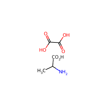 CC(N)C(=O)O.O=C(O)C(=O)O